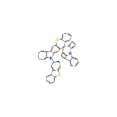 c1ccc2c(c1)Sc1cc3c4ccccc4n(-c4ccc5sc6ccccc6c5c4)c3cc1C21c2ccccc2-n2c3ccccc3c3cccc1c32